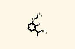 CC(N)c1cccc(OCC(F)(F)F)c1F